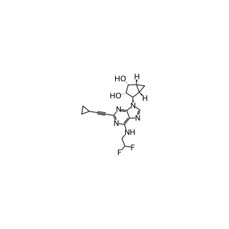 O[C@@H]1[C@H](O)[C@@H]2C[C@@H]2[C@H]1n1cnc2c(NCC(F)F)nc(C#CC3CC3)nc21